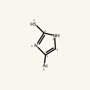 CC(=O)c1c[nH]c(S)n1